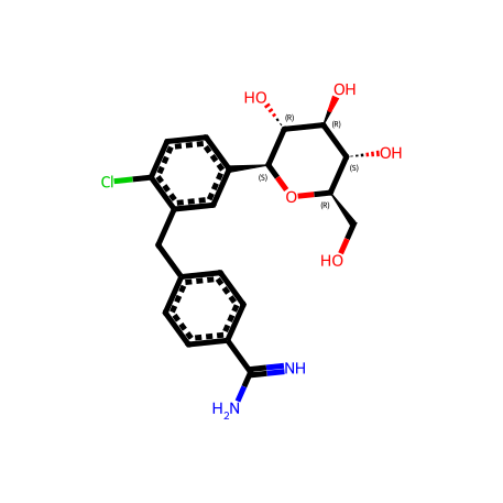 N=C(N)c1ccc(Cc2cc([C@@H]3O[C@H](CO)[C@@H](O)[C@H](O)[C@H]3O)ccc2Cl)cc1